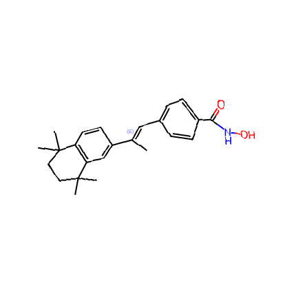 C/C(=C\c1ccc(C(=O)NO)cc1)c1ccc2c(c1)C(C)(C)CCC2(C)C